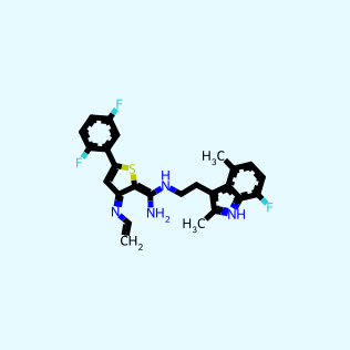 C=C/N=C1/C=C(c2cc(F)ccc2F)S/C1=C(/N)NCCc1c(C)[nH]c2c(F)ccc(C)c12